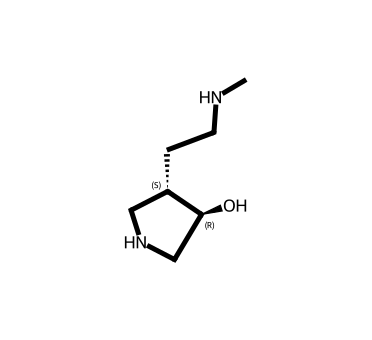 CNCC[C@H]1CNC[C@@H]1O